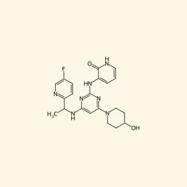 CC(Nc1cc(N2CCC(O)CC2)nc(Nc2ccc[nH]c2=O)n1)c1ccc(F)cn1